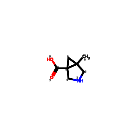 CC12CNCC1(C(=O)O)C2